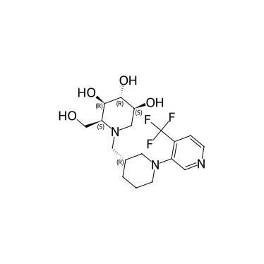 OC[C@H]1[C@@H](O)[C@H](O)[C@@H](O)CN1C[C@H]1CCCN(c2cnccc2C(F)(F)F)C1